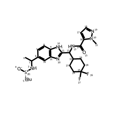 CC(N[S@@+]([O-])C(C)(C)C)c1ccc2[nH]c(C(NC(=O)c3ccnn3C)C3CCC(F)(F)CC3)nc2c1